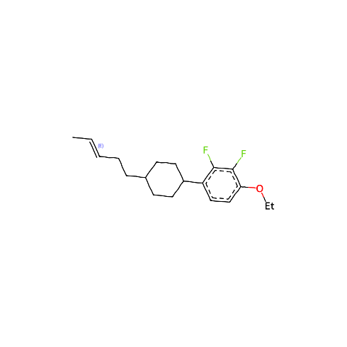 C/C=C/CCC1CCC(c2ccc(OCC)c(F)c2F)CC1